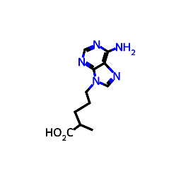 CC(CCCn1cnc2c(N)ncnc21)C(=O)O